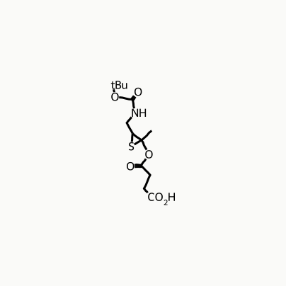 CC(C)(C)OC(=O)NCC1SC1(C)OC(=O)CCC(=O)O